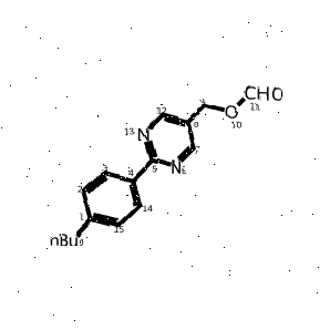 CCCCc1ccc(-c2ncc(COC=O)cn2)cc1